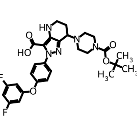 CC(C)(C)OC(=O)N1CCN(C2CCNc3c2nn(-c2ccc(Oc4cc(F)cc(F)c4)cc2)c3C(=O)O)CC1